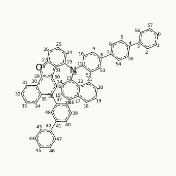 c1ccc(-c2ccc(-c3ccc(N(c4cccc5ccccc45)c4cccc5oc6c7ccccc7c(-c7cccc(-c8ccccc8)c7)cc6c45)cc3)cc2)cc1